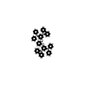 c1ccc(N(c2ccccc2)c2cc(Oc3ccccc3Oc3cc(N(c4ccccc4)c4ccccc4)cc(-n4c5ccccc5c5ccccc54)c3)cc(-n3c4ccccc4c4ccccc43)c2)cc1